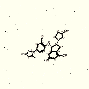 Cc1cc(C)n(-c2ccc(O[C@H]3c4cc(Cl)cc(Cl)c4C[C@@H]3N3CC[C@@H](O)C3)c(F)c2)n1